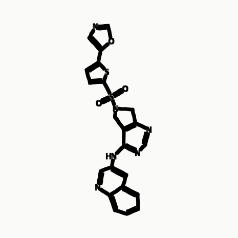 O=S(=O)(c1ccc(-c2cnco2)s1)N1Cc2ncnc(Nc3cnc4ccccc4c3)c2C1